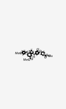 COC(=O)C1=Cc2c(Nc3ccc(OC4CCN(C(=O)OC(C)(C)C)CC4)c(Cl)c3)ncnc2N(Cc2ccc(OC)cc2)CC1